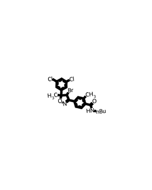 CCCCNC(=O)c1ccc(C2=NOC(C)(c3cc(Cl)cc(Cl)c3)C2Br)cc1C